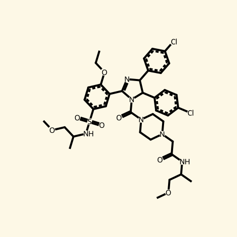 CCOc1ccc(S(=O)(=O)NC(C)COC)cc1C1=NC(c2ccc(Cl)cc2)C(c2ccc(Cl)cc2)N1C(=O)N1CCN(CC(=O)NC(C)COC)CC1